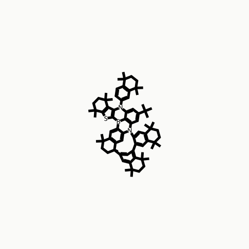 CC(C)(C)c1cc2c3c(c1)N(c1ccc4c(c1)C(C)(C)CCC4(C)C)c1c(sc4c1C(C)(C)CCC4(C)C)B3c1cc3c4cc1N2c1cc2c(cc1-c1cc(cc5c1C(C)(C)CCC5(C)C)C4(C)CCC3(C)C)C(C)(C)CCC2(C)C